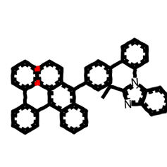 CCc1nc2ccccc2n1-c1ccccc1-c1ccc(-c2c3ccccc3c(-c3ccccc3-c3ccccc3)c3ccccc23)cc1